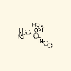 O=C(O)C(F)(F)F.c1cc(-c2ccc(CNC3Cc4ccccc4C3)cc2)cc(-c2ccn[nH]2)c1